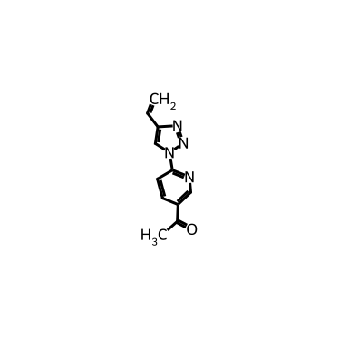 C=Cc1cn(-c2ccc(C(C)=O)cn2)nn1